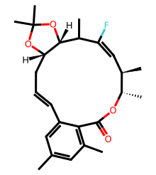 Cc1cc(C)c2c(c1)/C=C/C[C@@H]1OC(C)(C)O[C@@H]1C(C)/C(F)=C\[C@@H](C)[C@H](C)OC2=O